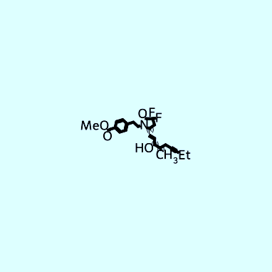 CCC#CC[C@H](C)[C@@H](O)C=C[C@H]1CC(F)(F)C(=O)N1CCc1ccc(C(=O)OC)cc1